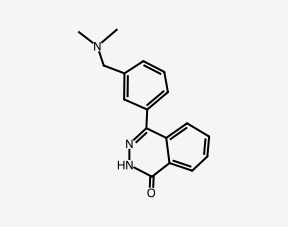 CN(C)Cc1cccc(-c2n[nH]c(=O)c3ccccc23)c1